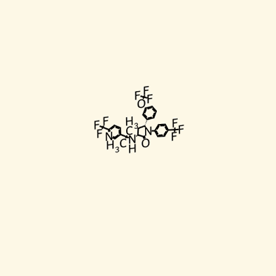 CC(C)(N[C@@H]1C[C@H](c2cccc(OC(F)(F)F)c2)N(c2ccc(C(F)(F)F)cc2)C1=O)c1ccc(C(F)(F)F)nc1